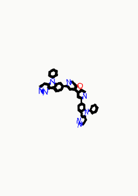 c1ccc(-n2c3cc(-c4cc5c(cn4)oc4cnc(-c6ccc7c8nnccc8n(-c8ccccc8)c7c6)cc45)ccc3c3nnccc32)cc1